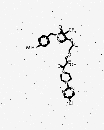 COc1ccc(Cn2ncc(O[C@@H](C)COC[C@@H](O)C(=O)N3CCN(c4ncc(Cl)cn4)CC3)c(C(F)(F)F)c2=O)cc1